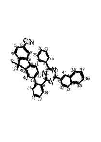 CC1(C)c2ccc(C#N)cc2-c2ccc(-c3ccccc3-c3nc(-c4ccccc4)nc(-c4ccc5ccccc5c4)n3)cc21